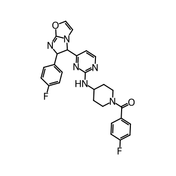 O=C(c1ccc(F)cc1)N1CCC(Nc2nccc(C3C(c4ccc(F)cc4)N=C4OC=CN43)n2)CC1